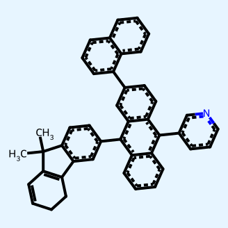 CC1(C)C2=C(CCC=C2)c2cc(-c3c4ccccc4c(-c4cccnc4)c4ccc(-c5cccc6ccccc56)cc34)ccc21